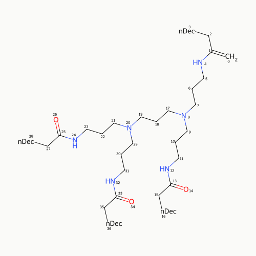 C=C(CCCCCCCCCCC)NCCCN(CCCNC(=O)CCCCCCCCCCC)CCCN(CCCNC(=O)CCCCCCCCCCC)CCCNC(=O)CCCCCCCCCCC